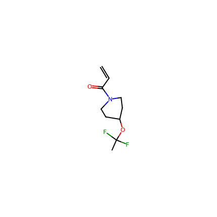 C=CC(=O)N1CCC(OC(C)(F)F)CC1